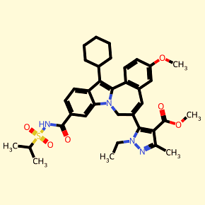 CCn1nc(C)c(C(=O)OC)c1C1=Cc2cc(OC)ccc2-c2c(C3CCCCC3)c3ccc(C(=O)NS(=O)(=O)C(C)C)cc3n2C1